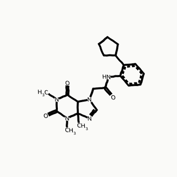 CN1C(=O)C2N(CC(=O)Nc3ccccc3C3CCCC3)C=NC2(C)N(C)C1=O